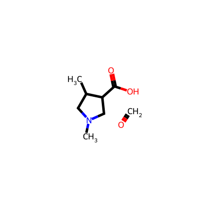 C=O.CC1CN(C)CC1C(=O)O